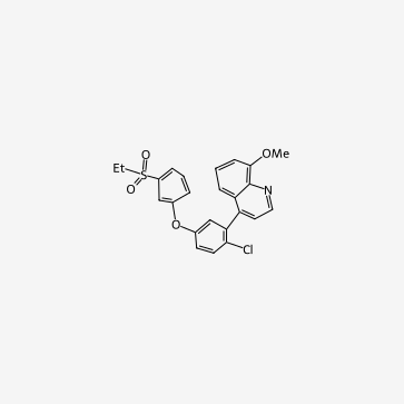 CCS(=O)(=O)c1cccc(Oc2ccc(Cl)c(-c3ccnc4c(OC)cccc34)c2)c1